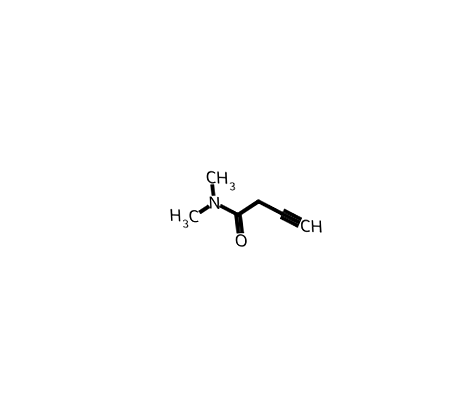 C#CCC(=O)N(C)C